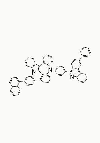 C1=CC2C=CC=C(c3cccc(-n4c5c(c6c4-c4ccccc4N(c4ccc(-c7nc8c(c9cc(-c%10ccccc%10)ccc79)CCC=C8)cc4)c4ccccc4-6)CCC=C5)c3)C2C=C1